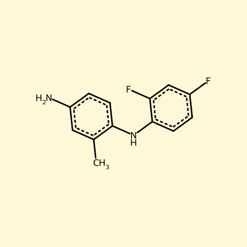 Cc1cc(N)ccc1Nc1ccc(F)cc1F